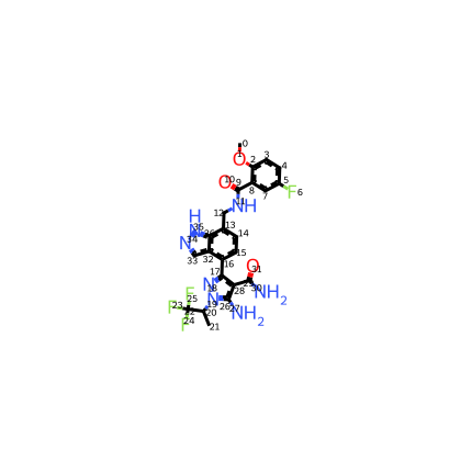 COc1ccc(F)cc1C(=O)NCc1ccc(-c2nn(C(C)C(F)(F)F)c(N)c2C(N)=O)c2cn[nH]c12